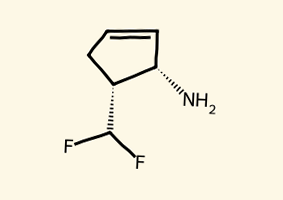 N[C@H]1C=CC[C@H]1C(F)F